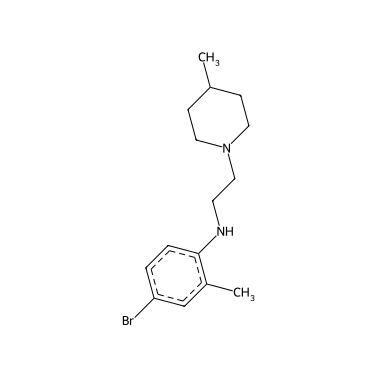 Cc1cc(Br)ccc1NCCN1CCC(C)CC1